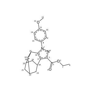 CCOC(=O)c1nn(-c2ccc(OC)cc2)c2c1C1CC3CC(C1)CC2C3